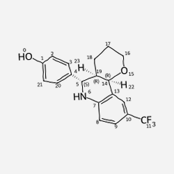 Oc1ccc([C@H]2Nc3ccc(C(F)(F)F)cc3[C@@H]3OCCC[C@H]23)cc1